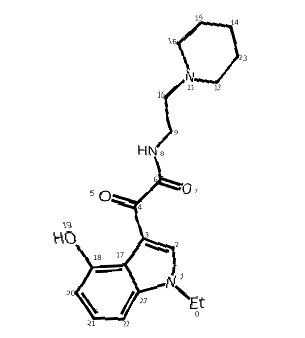 CCn1cc(C(=O)C(=O)NCCN2CCCCC2)c2c(O)cccc21